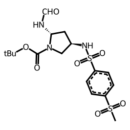 CC(C)(C)OC(=O)N1C[C@H](NS(=O)(=O)c2ccc(S(C)(=O)=O)cc2)C[C@H]1NC=O